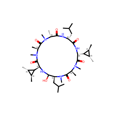 CC(C)C[C@H]1NC(=O)[C@@H](C)N(C)C(=O)[C@H](C)N(C)C(=O)[C@H](C2[C@@H](C)[C@@H]2C)NC(O)[C@H](CC(C)C)N(C)C(=O)[C@H](C)N(C)C(=O)[C@@H](C2[C@@H](C)[C@@H]2C)NC1=O